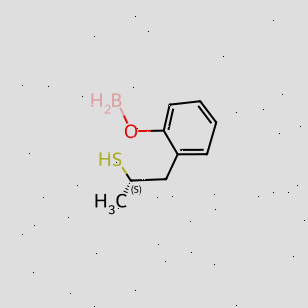 BOc1ccccc1C[C@H](C)S